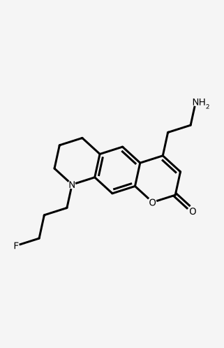 NCCc1cc(=O)oc2cc3c(cc12)CCCN3CCCF